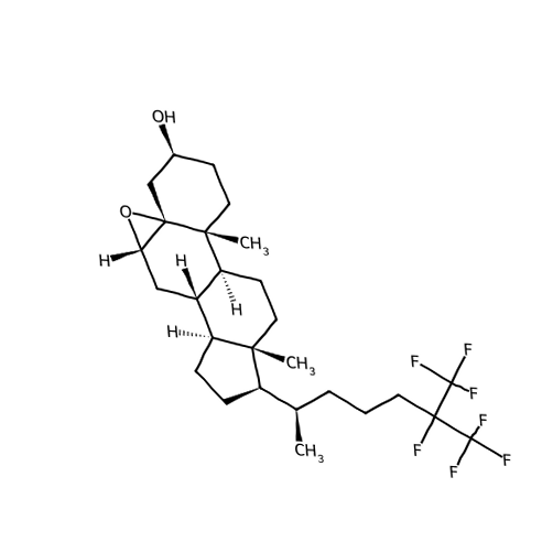 C[C@H](CCCC(F)(C(F)(F)F)C(F)(F)F)[C@H]1CC[C@H]2[C@@H]3C[C@@H]4O[C@@]45C[C@@H](O)CC[C@]5(C)[C@H]3CC[C@]12C